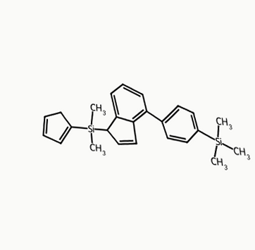 C[Si](C)(C)c1ccc(-c2cccc3c2C=CC3[Si](C)(C)C2=CC=CC2)cc1